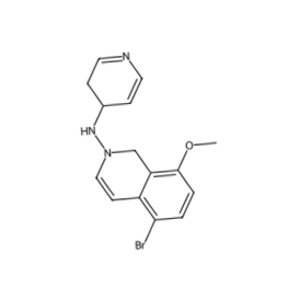 COc1ccc(Br)c2c1CN(NC1C=CN=CC1)C=C2